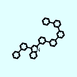 c1ccc(-c2cccc(-c3cccc(-c4cccc(-c5cccc(-c6cc(-c7cccc(-c8ccccc8)c7)c7ccccc7n6)c5)c4)c3)c2)cc1